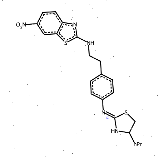 CCCC1CS/C(=N\c2ccc(CCNc3nc4ccc([N+](=O)[O-])cc4s3)cc2)N1